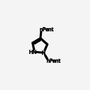 CCCCCC1=CNN(CCCCC)C1